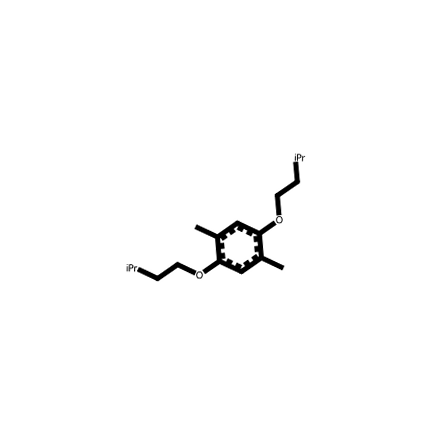 Cc1cc(OCCC(C)C)c(C)cc1OCCC(C)C